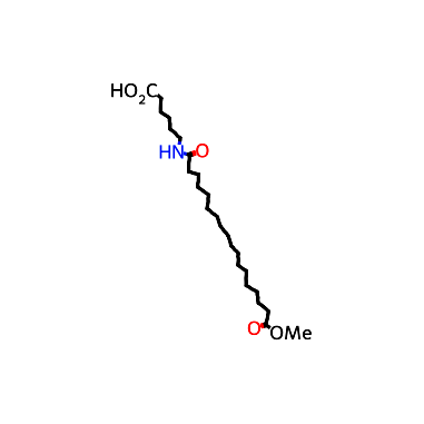 COC(=O)CCCCCCCCCCCCCCCCC(=O)NCCCCCC(=O)O